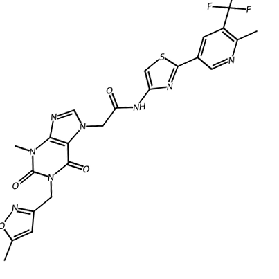 Cc1cc(Cn2c(=O)c3c(ncn3CC(=O)Nc3csc(-c4cnc(C)c(C(C)(F)F)c4)n3)n(C)c2=O)no1